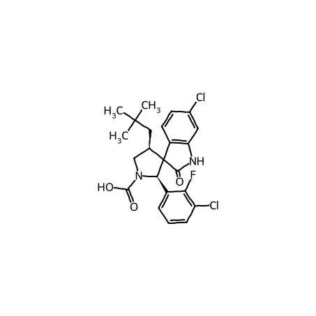 CC(C)(C)C[C@@H]1CN(C(=O)O)[C@H](c2cccc(Cl)c2F)C12C(=O)Nc1cc(Cl)ccc12